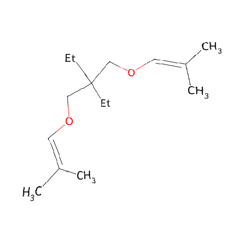 CCC(CC)(COC=C(C)C)COC=C(C)C